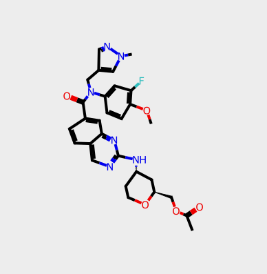 COc1ccc(N(Cc2cnn(C)c2)C(=O)c2ccc3cnc(N[C@H]4CCO[C@H](COC(C)=O)C4)nc3c2)cc1F